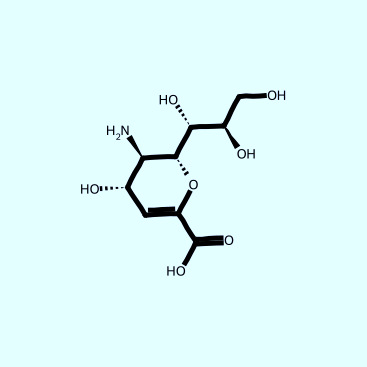 N[C@H]1[C@H]([C@H](O)[C@H](O)CO)OC(C(=O)O)=C[C@@H]1O